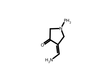 NC=C1CN(P)CC1=O